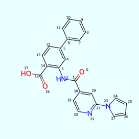 O=C(Nc1cc(-c2ccccc2)ccc1C(=O)O)c1ccnc(-n2cccc2)c1